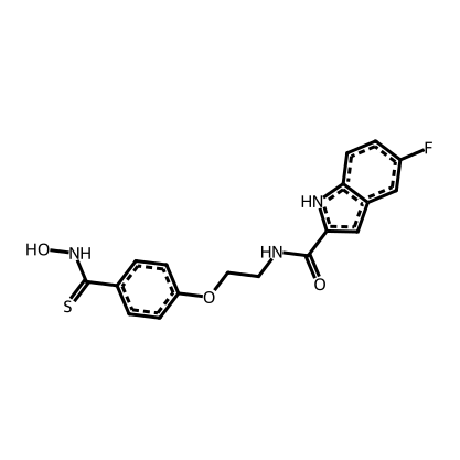 O=C(NCCOc1ccc(C(=S)NO)cc1)c1cc2cc(F)ccc2[nH]1